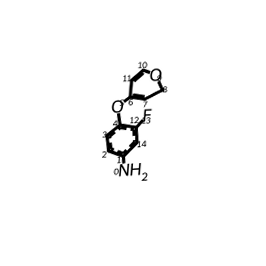 Nc1ccc(OC2=CCOC=C2)c(F)c1